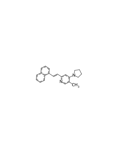 Cc1cnc(/C=C/c2cccc3ccccc23)cc1N1CCCC1